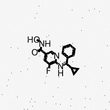 O=C(NO)c1cnc(N[C@@H](c2ccccc2)C2CC2)c(F)c1